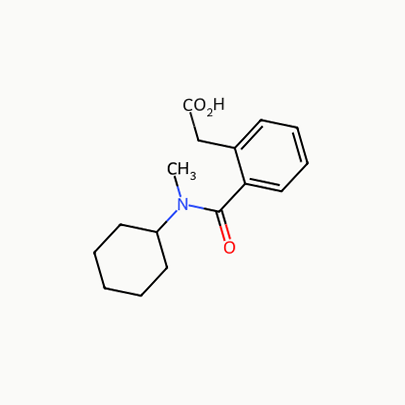 CN(C(=O)c1ccccc1CC(=O)O)C1CCCCC1